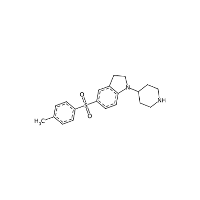 Cc1ccc(S(=O)(=O)c2ccc3c(c2)CCN3C2CCNCC2)cc1